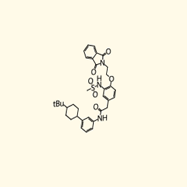 CC(C)(C)C1CCC(c2cccc(NC(=O)Cc3ccc(OCCN4C(=O)c5ccccc5C4=O)c(NS(C)(=O)=O)c3)c2)CC1